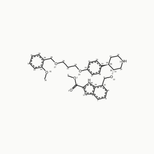 COC(=O)c1nc2cccc(CO[C@H]3CNCC[C@@H]3c3ccc(OCCCOCc4ccccc4OC)cc3)c2[nH]1